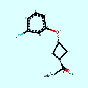 COC(=O)[C@H]1C[C@H](Oc2cccc(F)c2)C1